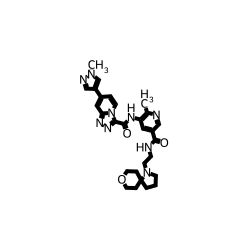 Cc1ncc(C(=O)NCCN2CCCC23CCOCC3)cc1NC(=O)c1nnc2cc(-c3cnn(C)c3)ccn12